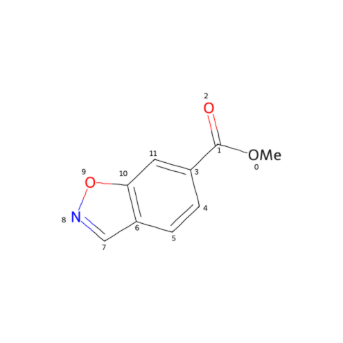 COC(=O)c1ccc2cnoc2c1